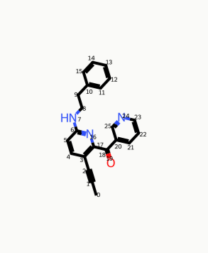 CC#Cc1ccc(NCCc2ccccc2)nc1C(=O)c1cccnc1